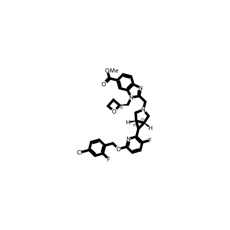 COC(=O)c1ccc2nc(CN3C[C@@H]4C(c5nc(OCc6ccc(Cl)cc6F)ccc5F)[C@@H]4C3)n(C[C@@H]3CCO3)c2c1